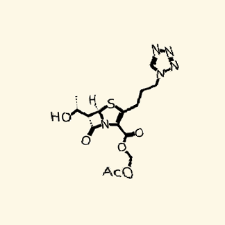 CC(=O)OCOC(=O)C1=C(CCCn2cnnn2)S[C@@H]2[C@@H]([C@@H](C)O)C(=O)N12